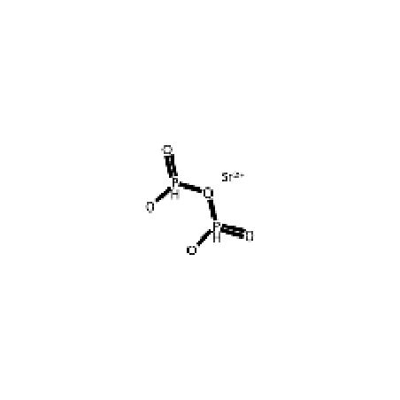 O=[PH]([O-])O[PH](=O)[O-].[Sr+2]